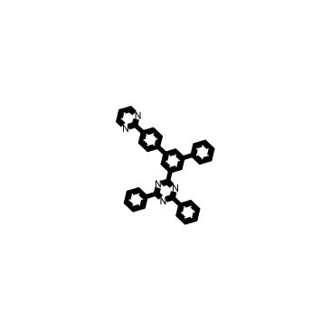 c1ccc(-c2cc(-c3ccc(-c4ncccn4)cc3)cc(-c3nc(-c4ccccc4)nc(-c4ccccc4)n3)c2)cc1